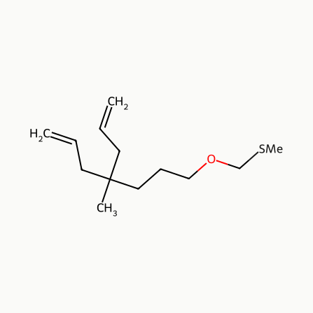 C=CCC(C)(CC=C)CCCOCSC